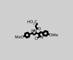 COc1ccc(C2=NN(C(=O)CCC(=O)O)C(c3cc4ccc(OC)cc4nc3Cl)C2)cc1